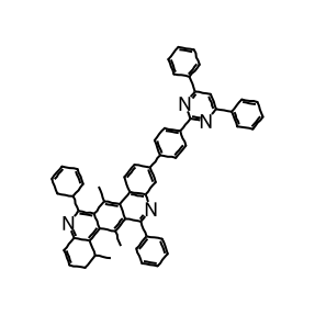 Cc1c2c3c(nc(C4C=CC=CC4)c2c(C)c2c1c(-c1ccccc1)nc1cc(-c4ccc(-c5nc(-c6ccccc6)cc(-c6ccccc6)n5)cc4)ccc12)C=CCC3C